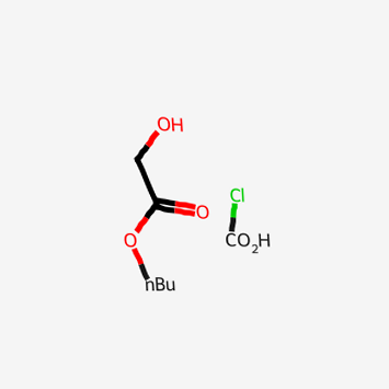 CCCCOC(=O)CO.O=C(O)Cl